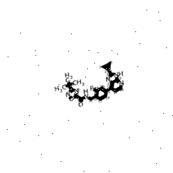 CC(C)(C)c1noc(C(=O)NCc2ccc(-c3ccnc4[nH]c(C5CC5)nc34)cc2F)n1